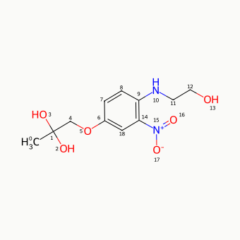 CC(O)(O)COc1ccc(NCCO)c([N+](=O)[O-])c1